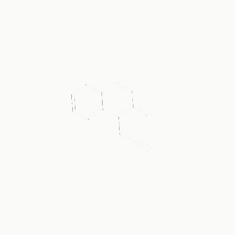 [C]#CCc1c(OC)ccc2ccccc12